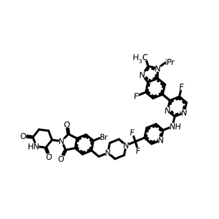 Cc1nc2c(F)cc(-c3nc(Nc4ccc(C(F)(F)N5CCN(Cc6cc7c(cc6Br)C(=O)N(C6CCC(=O)NC6=O)C7=O)CC5)cn4)ncc3F)cc2n1C(C)C